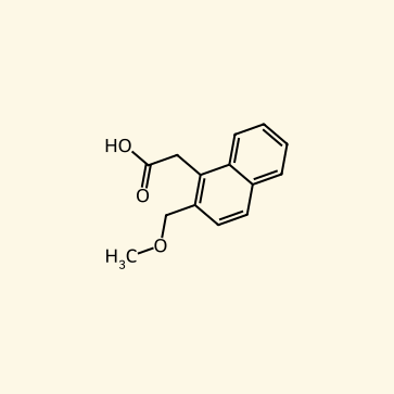 COCc1ccc2ccccc2c1CC(=O)O